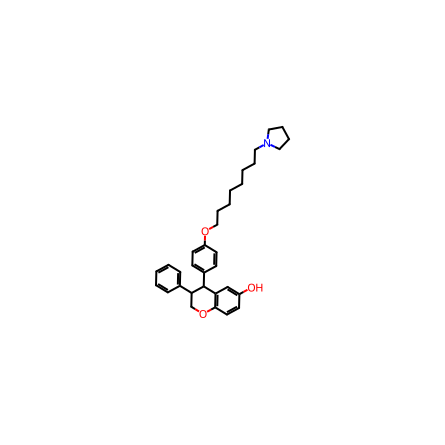 Oc1ccc2c(c1)C(c1ccc(OCCCCCCCCN3CCCC3)cc1)C(c1ccccc1)CO2